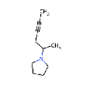 CC#CCC(C)N1CCCC1